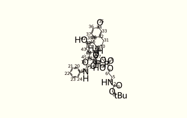 CC(C)(C)OC(=O)NCCOP(=O)(O)OCC(=O)[C@@]12OC(Nc3ccccc3)O[C@@H]1C[C@H]1[C@@H]3CCC4=CC(=O)C=C[C@]4(C)C3[C@@H](O)C[C@@]12C